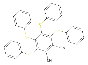 N#Cc1c(C#N)c(Sc2ccccc2)c(Sc2ccccc2)c(Sc2ccccc2)c1Sc1ccccc1